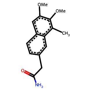 COc1cc2ccc(CC(N)=O)cc2c(C)c1OC